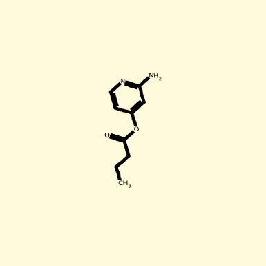 CCCC(=O)Oc1ccnc(N)c1